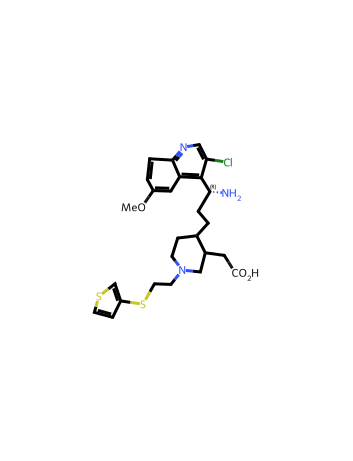 COc1ccc2ncc(Cl)c([C@H](N)CCC3CCN(CCSc4ccsc4)CC3CC(=O)O)c2c1